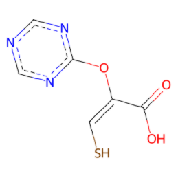 O=C(O)C(=CS)Oc1ncncn1